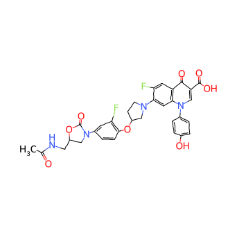 CC(=O)NCC1CN(c2ccc(OC3CCN(c4cc5c(cc4F)c(=O)c(C(=O)O)cn5-c4ccc(O)cc4)C3)c(F)c2)C(=O)O1